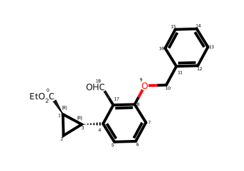 CCOC(=O)[C@@H]1C[C@H]1c1cccc(OCc2ccccc2)c1C=O